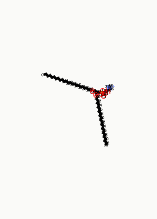 CCCCCCCCCCCCCCCCCCCCCCCCOCC(COP(=O)(O)OCC[N+](C)(C)C)OCCCCCCCCCCCCCCCCCCCCCCCC